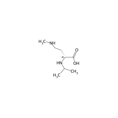 CNCC[C@@H](NC(C)C)C(=O)O